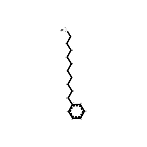 O=S(=O)(O)CCCCCCCCCCc1ccccc1